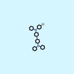 Brc1ccc(N(c2ccccc2)c2ccc(-c3ccc(N(c4ccccc4)c4ccccc4)cc3)cc2)cc1